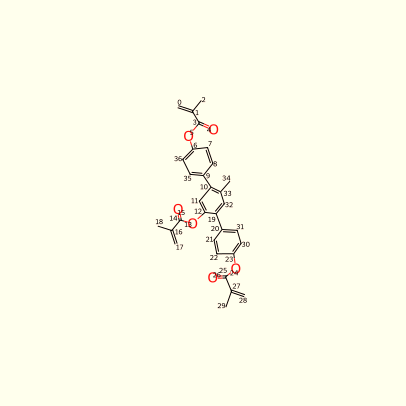 C=C(C)C(=O)Oc1ccc(-c2cc(OC(=O)C(=C)C)c(-c3ccc(OC(=O)C(=C)C)cc3)cc2C)cc1